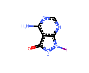 Nc1ncnc2c1c(=O)[nH]n2I